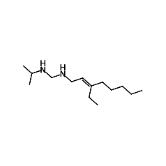 CCCCC/C(=C/CNCNC(C)C)CC